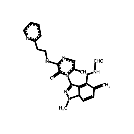 C=C1C=CC2C(=C1CNC=O)C(n1c(C)cnc(NCCc3ccccn3)c1=O)=NN2C